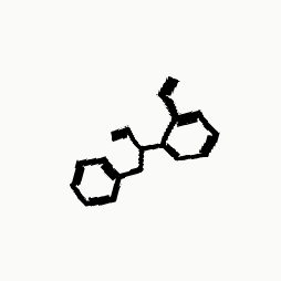 C=Cc1ccccc1C(C=C)Cc1ccccc1